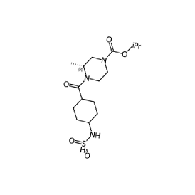 CC(C)OC(=O)N1CCN(C(=O)C2CCC(N[SH](=O)=O)CC2)[C@H](C)C1